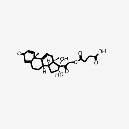 C[C@]12C=CC(=O)C=C1CC[C@@H]1C2=CC[C@@]2(C)[C@H]1C[C@@H](O)[C@]2(O)C(=O)COC(=O)CCC(=O)O